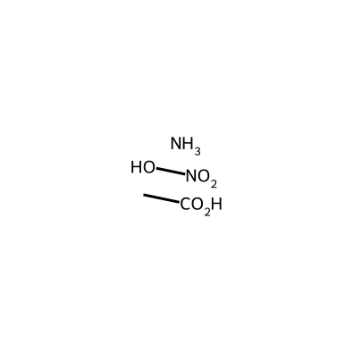 CC(=O)O.N.O=[N+]([O-])O